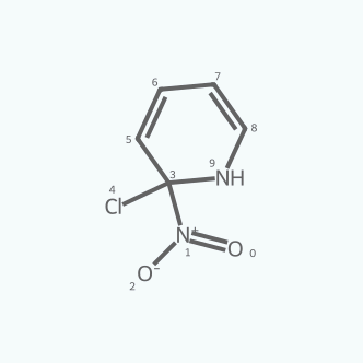 O=[N+]([O-])C1(Cl)C=CC=CN1